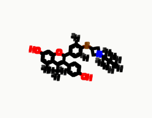 [2H]c1cc(C2Oc3cc(O)cc([2H])c3C(C([2H])([2H])[2H])=C2c2ccc(O)cc2)cc([2H])c1SC1CN(C([2H])([2H])C([2H])([2H])C([2H])([2H])[2H])C1